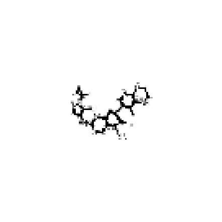 Cc1c(-c2cc3nc(Nc4cnn(C5(C)CC5)c4Cl)ncc3c(N)c2F)cnc2c1NCCO2